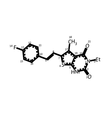 CCn1c(=O)[nH]c2sc(/C=C/c3ccc(F)cc3)c(C)c2c1=O